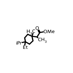 CCC1(C(C)C)CCC(C)(C(C)C(=O)OC)CC1